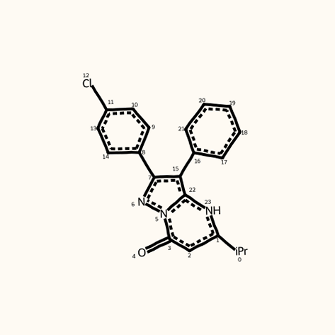 CC(C)c1cc(=O)n2nc(-c3ccc(Cl)cc3)c(-c3ccccc3)c2[nH]1